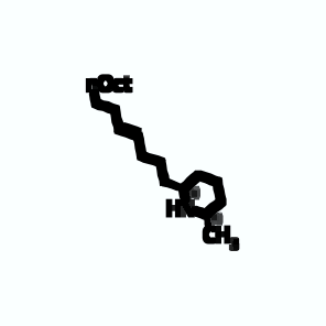 CCCCCCCCCCC=CCCC[C@H]1CCC[C@H](C)N1